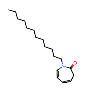 CCCCCCCCCCCCN1C=CC=CCC1=O